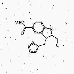 COC(=O)c1ccc2c(c1)N(Cc1cncs1)C(CCl)N2